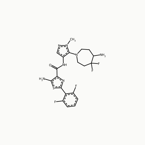 Cn1ncc(NC(=O)c2nc(-c3c(F)cccc3F)sc2N)c1N1CCC(N)C(F)(F)CC1